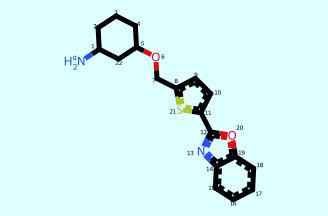 NC1CCCC(OCc2ccc(-c3nc4ccccc4o3)s2)C1